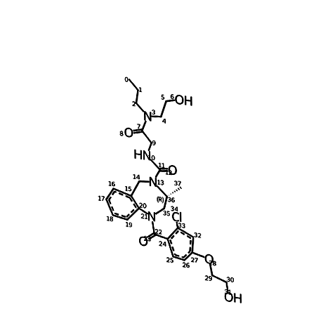 CCCN(CCO)C(=O)CNC(=O)N1Cc2ccccc2N(C(=O)c2ccc(OCCO)cc2Cl)C[C@H]1C